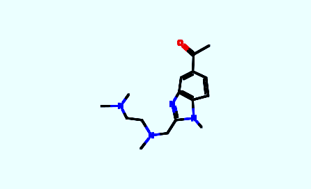 CC(=O)c1ccc2c(c1)nc(CN(C)CCN(C)C)n2C